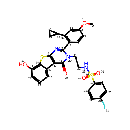 COc1ccc(-c2nc3sc4c(O)cccc4c3c(=O)n2CCNS(=O)(=O)c2ccc(F)cc2)c(C2CC2)c1